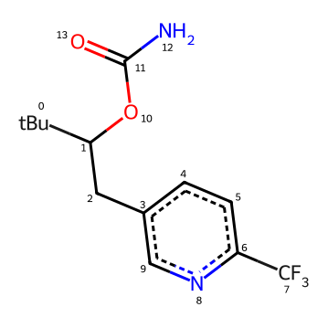 CC(C)(C)C(Cc1ccc(C(F)(F)F)nc1)OC(N)=O